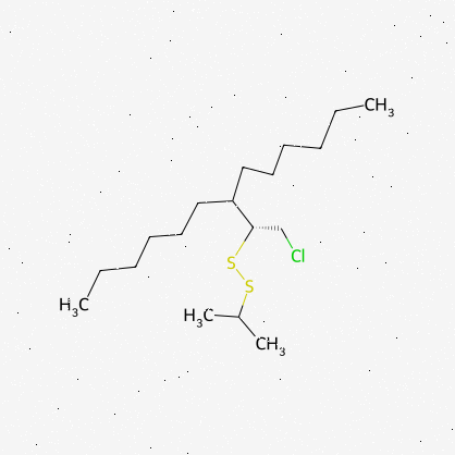 CCCCCCC(CCCCCC)[C@H](CCl)SSC(C)C